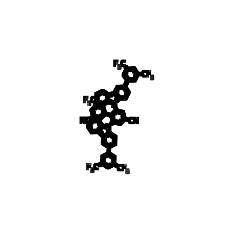 N#Cc1cc(-c2c(-n3c4ccccc4c4cc(-c5cc(C(F)(F)F)cc(C(F)(F)F)c5)ccc43)cc(C#N)cc2-n2c3ccccc3c3cc(-c4cc(C(F)(F)F)cc(C(F)(F)F)c4)ccc32)cc(C(F)(F)F)c1